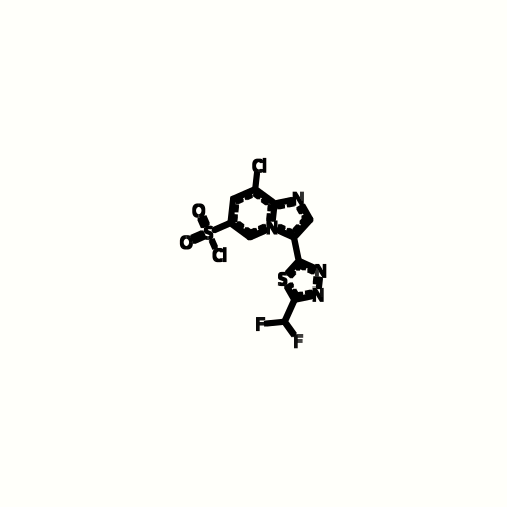 O=S(=O)(Cl)c1cc(Cl)c2ncc(-c3nnc(C(F)F)s3)n2c1